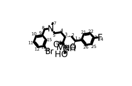 CO[C@H](C[C@@H](CCN(C)Cc1cccc(Br)c1)C(=O)NO)c1ccc(F)cc1